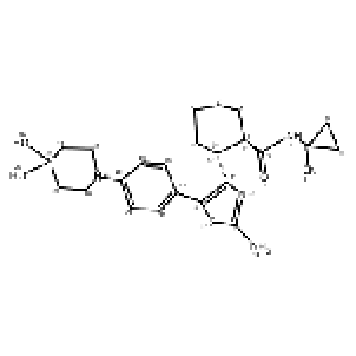 N#CC1(NC(=O)[C@@H]2CCCC[C@H]2c2nc(N)sc2-c2ccc(N3CCS(O)(O)CC3)cc2)CC1